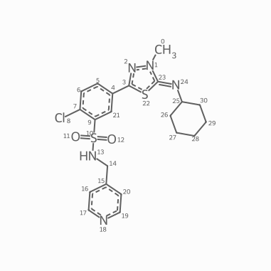 Cn1nc(-c2ccc(Cl)c(S(=O)(=O)NCc3ccncc3)c2)sc1=NC1CCCCC1